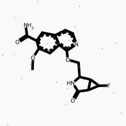 COc1cc2c(OCC3NC(=O)C4C(F)C34)nccc2cc1C(N)=O